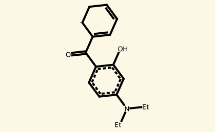 CCN(CC)c1ccc(C(=O)C2=CC=CC[CH]2)c(O)c1